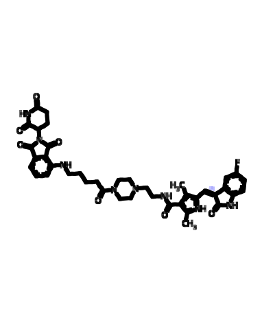 Cc1[nH]c(/C=C2\C(=O)Nc3ccc(F)cc32)c(C)c1C(=O)NCCN1CCN(C(=O)CCCCNc2cccc3c2C(=O)N(C2CCC(=O)NC2=O)C3=O)CC1